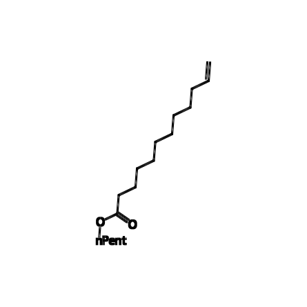 C=CCCCCCCCCCC(=O)OCCCCC